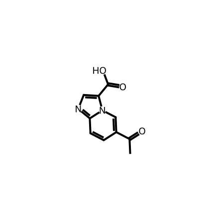 CC(=O)c1ccc2ncc(C(=O)O)n2c1